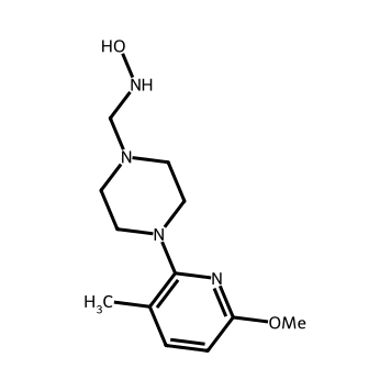 COc1ccc(C)c(N2CCN(CNO)CC2)n1